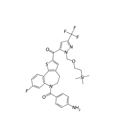 C[Si](C)(C)CCOCn1nc(C(F)(F)F)cc1C(=O)c1cc2c(s1)-c1ccc(F)cc1N(C(=O)c1ccc(N)cc1)CC2